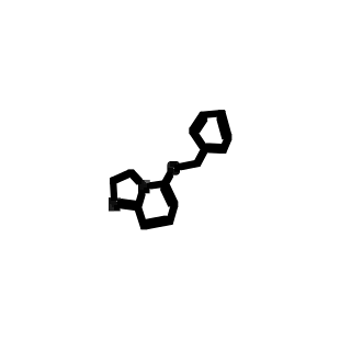 C1=CC2=NCCN2C(OCc2ccccc2)=C1